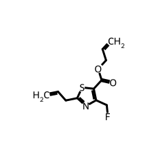 C=CCOC(=O)c1sc(CC=C)nc1CF